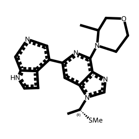 CS[C@H](C)n1cnc2c(N3CCOCC3C)nc(-c3cncc4[nH]ccc34)cc21